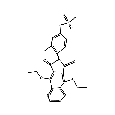 CCOc1c2c(c(OCC)c3ncccc13)C(=O)N(c1ccc(CS(C)(=O)=O)cc1C)C2=O